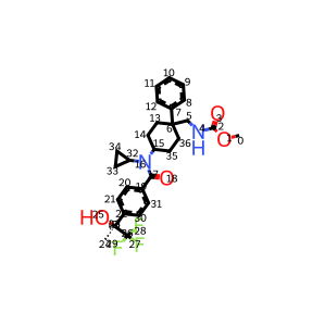 COC(=O)NCC1(c2ccccc2)CCC(N(C(=O)c2ccc([C@](C)(O)C(F)(F)F)cc2)C2CC2)CC1